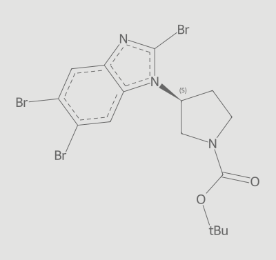 CC(C)(C)OC(=O)N1CC[C@H](n2c(Br)nc3cc(Br)c(Br)cc32)C1